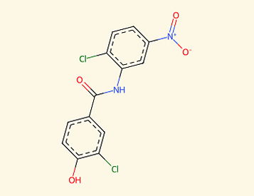 O=C(Nc1cc([N+](=O)[O-])ccc1Cl)c1ccc(O)c(Cl)c1